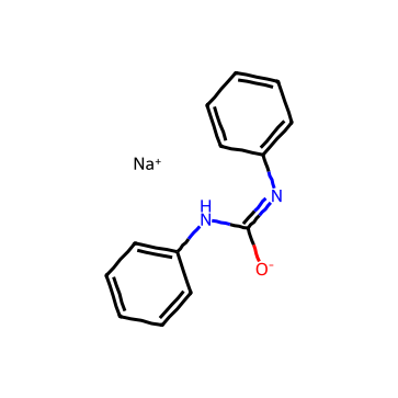 [Na+].[O-]/C(=N/c1ccccc1)Nc1ccccc1